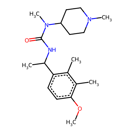 COc1ccc(C(C)NC(=O)N(C)C2CCN(C)CC2)c(C)c1C